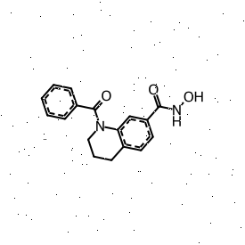 O=C(NO)c1ccc2c(c1)N(C(=O)c1ccccc1)CCC2